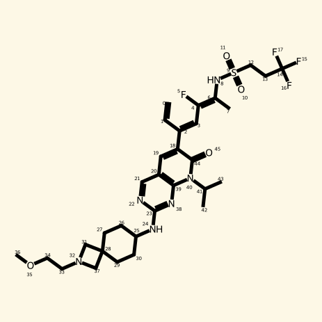 C=C/C(=C\C(F)=C(/C)NS(=O)(=O)CCC(F)(F)F)c1cc2cnc(NC3CCC4(CC3)CN(CCOC)C4)nc2n(C(C)C)c1=O